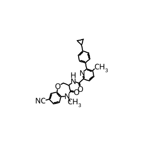 Cc1ccc(C(=O)NC2COc3cc(C#N)ccc3N(C)C2=O)nc1-c1ccc(C2CC2)cc1